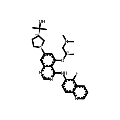 C[C@H](CN(C)C)Oc1cc(N2CC[C@@H](C(C)(C)O)C2)cc2ncnc(Nc3ccc4ncccc4c3F)c12